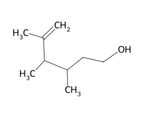 C=C(C)C(C)C(C)CCO